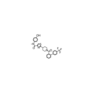 CN(C(=O)c1csc(C2CCN(C(=O)c3ccccc3-c3ccc(C(F)(F)F)cc3)CC2)n1)c1ccc(O)cc1